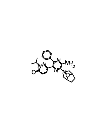 CC(C)n1nc(-c2nc(N3CC4CCC(C3)O4)c(N)nc2-c2ccccc2)ccc1=O